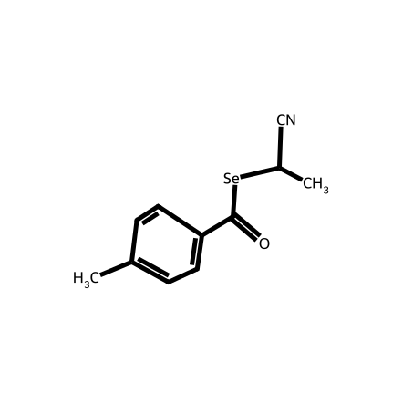 Cc1ccc(C(=O)[Se]C(C)C#N)cc1